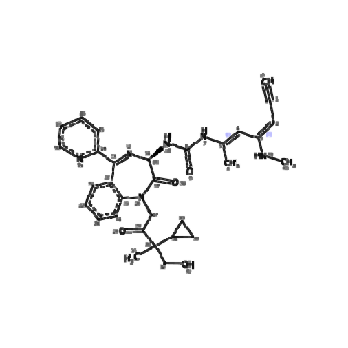 C#C/C=C(\C=C(/C)NC(=O)N[C@@H]1N=C(c2ccccn2)c2ccccc2N(CC(=O)C(C)(CO)C2CC2)C1=O)NC